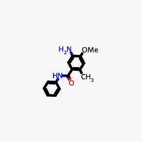 COc1cc(C)c(C(=O)Nc2ccccc2)cc1N